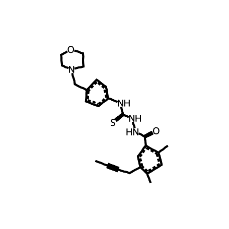 CC#CCc1cc(C(=O)NNC(=S)Nc2ccc(CN3CCOCC3)cc2)c(C)cc1C